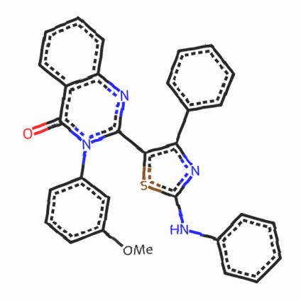 COc1cccc(-n2c(-c3sc(Nc4ccccc4)nc3-c3ccccc3)nc3ccccc3c2=O)c1